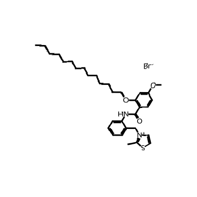 CCCCCCCCCCCCCCOc1cc(OC)ccc1C(=O)Nc1ccccc1C[n+]1ccsc1C.[Br-]